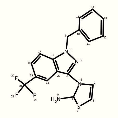 NC1SC=CN1c1nn(Cc2ccccc2)c2ccc(C(F)(F)F)cc12